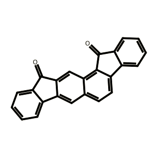 O=c1c2ccccc2c2cc3ccc4c5ccccc5c(=O)c4c3cc12